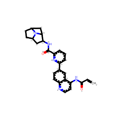 C=CC(=O)Nc1ccnc2ccc(-c3cccc(C(=O)NC4CC5CCC6CC4N56)n3)cc12